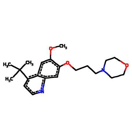 COc1cc2c(C(C)(C)C)ccnc2cc1OCCCN1CCOCC1